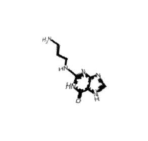 NCCCNc1nc2nc[nH]c2c(=O)[nH]1